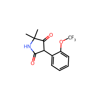 CC1(C)NC(=O)C(c2ccccc2OC(F)(F)F)C1=O